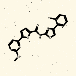 CNc1nccc(-c2ccc(C(=O)Nc3nc(-c4ccccc4Cl)cs3)s2)n1